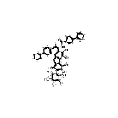 N=C(NC1(c2cc3oc4c(O)c(-c5c(O)c(O)c(O)c(O)c5O)c(O)c(O)c4c3c(O)c2O)N=C1c1ccc(-c2ccccc2)cc1)c1ccc(-c2ccccc2)cc1